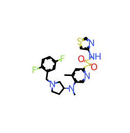 Cc1cc(S(=O)(=O)Nc2cscn2)ncc1N(C)[C@H]1CCN(Cc2cc(F)ccc2F)C1